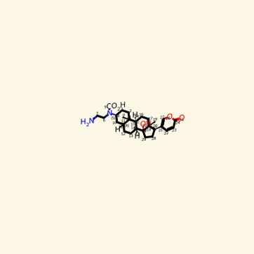 C[C@]12CC[C@H](N(CCN)C(=O)O)C[C@H]1CC[C@@H]1[C@@H]2CC[C@]2(C)[C@@H](c3ccc(=O)oc3)CC[C@]12O